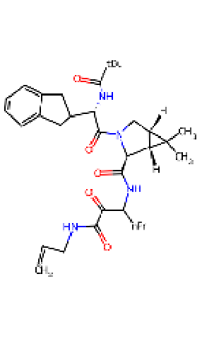 C=CCNC(=O)C(=O)C(CCC)NC(=O)[C@@H]1[C@@H]2[C@H](CN1C(=O)[C@@H](NC(=O)C(C)(C)C)C1Cc3ccccc3C1)C2(C)C